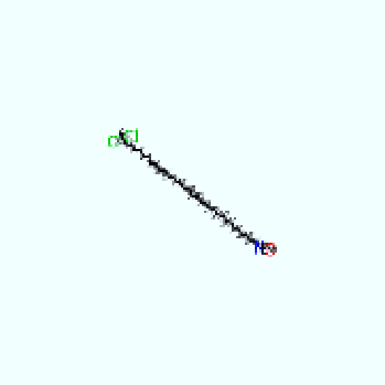 C[Si](Cl)(Cl)CCCCCCCCCCCCCCCCCCCCCCCCCCCCCCCCN=C=O